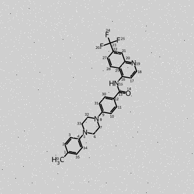 Cc1ccc(N2CCN(c3ccc(C(=O)Nc4ccnc5cc(C(F)(F)F)ccc45)cc3)CC2)cc1